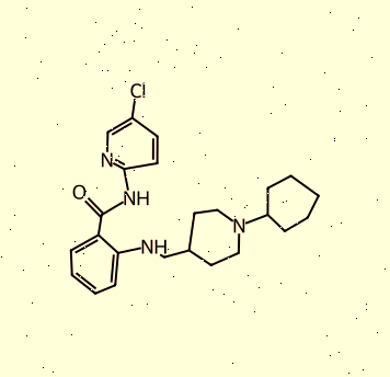 O=C(Nc1ccc(Cl)cn1)c1ccccc1NCC1CCN(C2CCCCC2)CC1